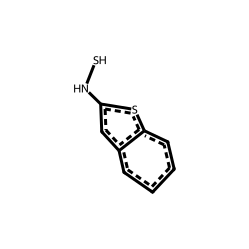 SNc1cc2ccccc2s1